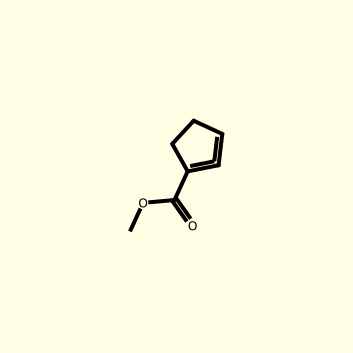 COC(=O)C1=C=CCC1